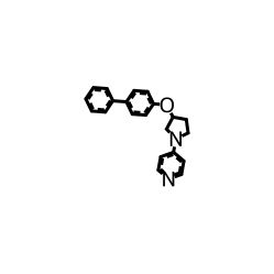 c1ccc(-c2ccc(OC3CCN(c4ccncc4)C3)cc2)cc1